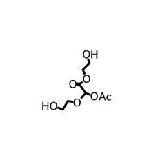 CC(=O)OC(OCCO)C(=O)OCCO